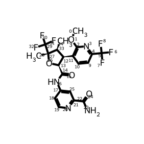 COc1nc(C(F)(F)F)ccc1[C@H]1[C@@H](C(=O)Nc2ccnc(C(N)=O)c2)O[C@](C)(C(F)(F)F)[C@H]1C